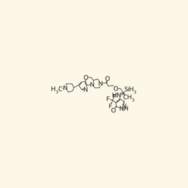 CN1CCC(c2cnc3c(c2)OCC2CN(C(=O)CCOC[C@](C)([SiH3])Nc4cn[nH]c(=O)c4C(F)(F)F)CCN32)CC1